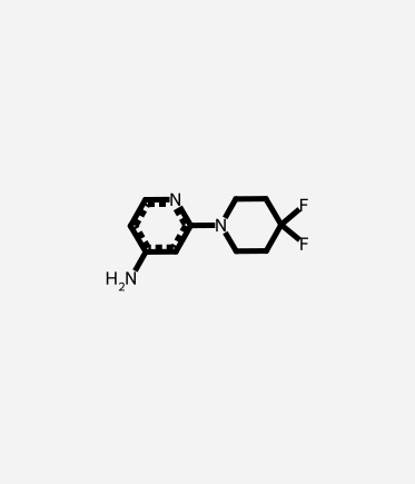 Nc1ccnc(N2CCC(F)(F)CC2)c1